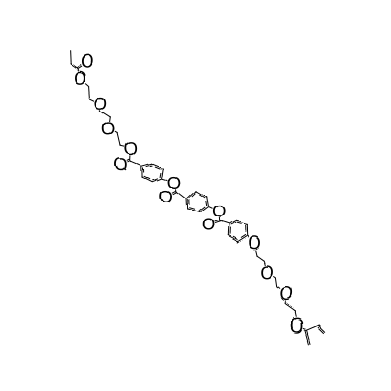 C=CC(=C)OCCOCCOCCOc1ccc(C(=O)Oc2ccc(C(=O)Oc3ccc(C(=O)OCCOCCOCCOC(=O)CC)cc3)cc2)cc1